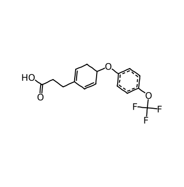 O=C(O)CCC1=CCC(Oc2ccc(OC(F)(F)F)cc2)C=C1